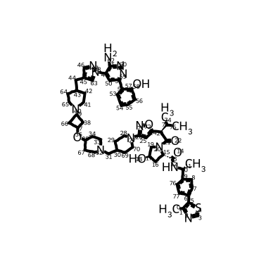 Cc1ncsc1-c1ccc([C@H](C)NC(=O)[C@@H]2C[C@@H](O)CN2C(=O)[C@@H](c2cc(N3CCC(CN4CCC(OC5CC(N6CCC(Cc7cnn(-c8cc(-c9ccccc9O)nnc8N)c7)CC6)C5)CC4)CC3)no2)C(C)C)cc1